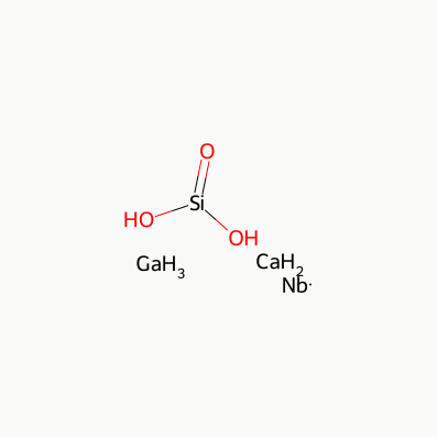 O=[Si](O)O.[CaH2].[GaH3].[Nb]